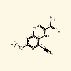 COc1cc(F)c(NC(=O)C(=O)O)c(C#N)c1